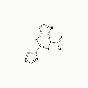 NC(=O)c1nc(-n2ccnc2)nc2cc[nH]c12